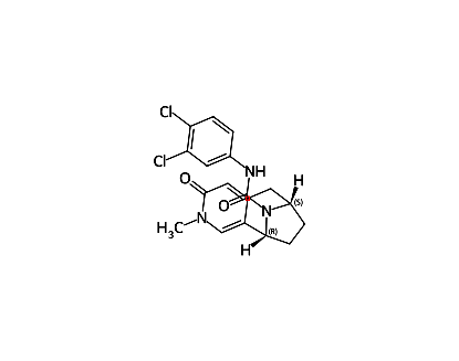 Cn1cc2c(cc1=O)C[C@@H]1CC[C@H]2N1C(=O)Nc1ccc(Cl)c(Cl)c1